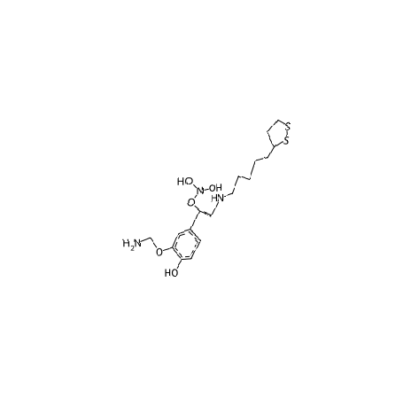 NCOc1cc(C(CNCCCCCC2CCSS2)ON(O)O)ccc1O